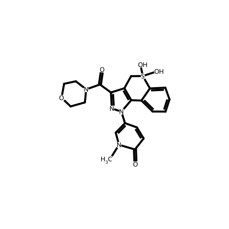 Cn1cc(-n2nc(C(=O)N3CCOCC3)c3c2-c2ccccc2S(O)(O)C3)ccc1=O